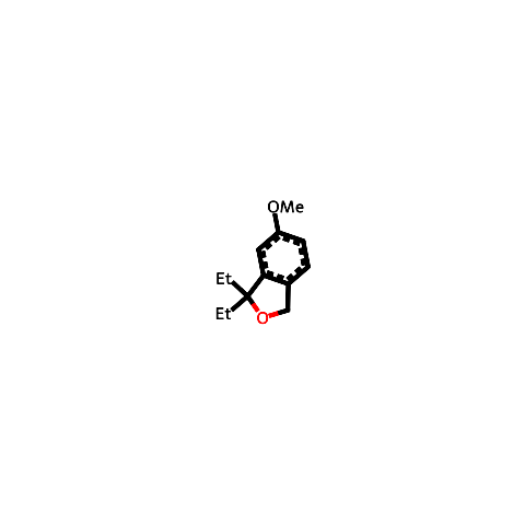 CCC1(CC)OCc2ccc(OC)cc21